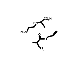 C=CCOC(=O)C(C)N.CCCCCCCCCCCCNC(C)C(=O)O